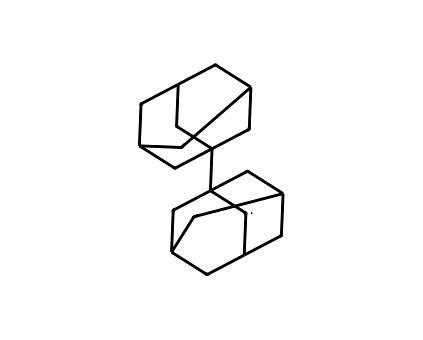 [CH]1C2CC3CC(C2)CC1(C12CC4CC(CC(C4)C1)C2)C3